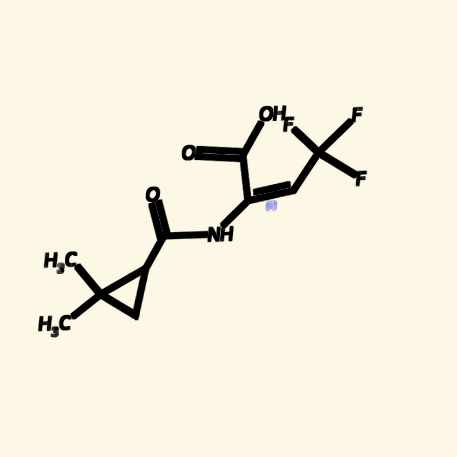 CC1(C)CC1C(=O)N/C(=C/C(F)(F)F)C(=O)O